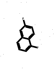 Fc1ccc2c(F)cc[c]c2c1